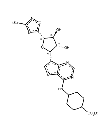 CCOC(=O)N1CCC(Nc2ncnc3c2ncn3[C@@H]2O[C@H](c3nc(C(C)(C)C)no3)[C@@H](O)[C@@H]2O)CC1